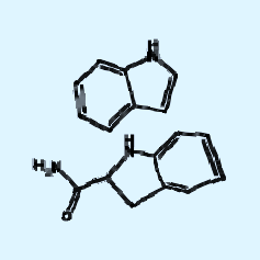 NC(=O)C1Cc2ccccc2N1.c1ccc2[nH]ccc2c1